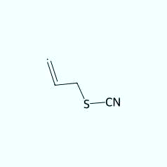 [CH]=CCSC#N